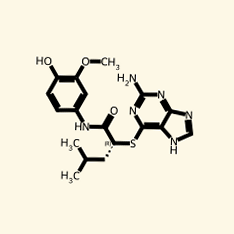 COc1cc(NC(=O)[C@@H](CC(C)C)Sc2nc(N)nc3nc[nH]c23)ccc1O